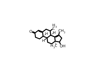 CC1=C2[C@@H]3C(C)CC4=CC(=O)CC[C@@H]4[C@H]3CC[C@]2(C)C(O)C1